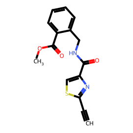 C#Cc1nc(C(=O)NCc2ccccc2C(=O)OC)cs1